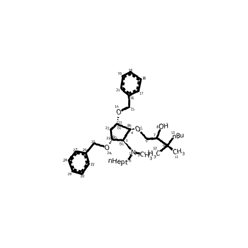 CCCCCCCN(C)[C@@H]1[C@@H](OCC(O)C(C)(C)CCCC)[C@@H](OCc2ccccc2)C[C@H]1OCc1ccccc1